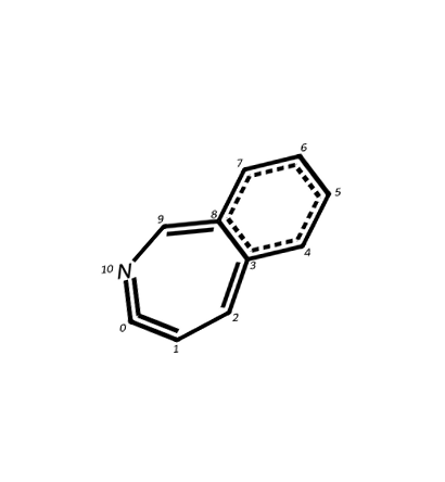 C1=CC=c2ccccc2=CN=1